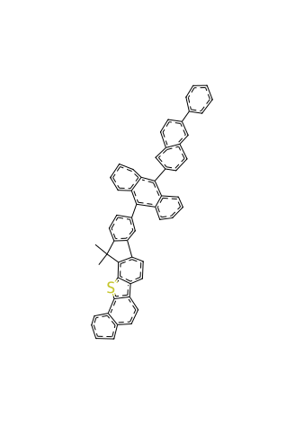 CC1(C)c2ccc(-c3c4ccccc4c(-c4ccc5cc(-c6ccccc6)ccc5c4)c4ccccc34)cc2-c2ccc3c(sc4c5ccccc5ccc34)c21